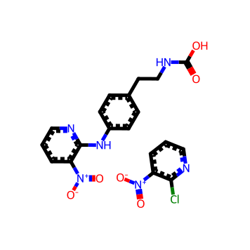 O=C(O)NCCc1ccc(Nc2ncccc2[N+](=O)[O-])cc1.O=[N+]([O-])c1cccnc1Cl